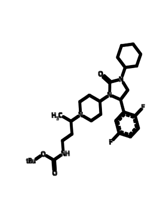 CC(CCNC(=O)OC(C)(C)C)N1CCC(N2C(=O)N(C3CCCCC3)CC2c2cc(F)ccc2F)CC1